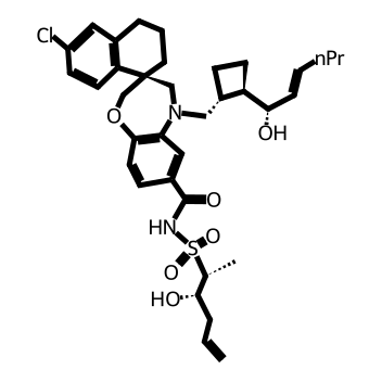 C=CC[C@H](O)[C@@H](C)S(=O)(=O)NC(=O)c1ccc2c(c1)N(C[C@@H]1CC[C@H]1[C@@H](O)/C=C/CCC)C[C@@]1(CCCc3cc(Cl)ccc31)CO2